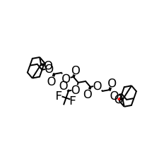 CC(F)(F)C(=O)OC(CC(=O)OCC(=O)OC12CC3CC(C1)C(=O)C(C3)C2)C(=O)OCC(=O)OC12CC3CC(C1)C(=O)C(C3)C2